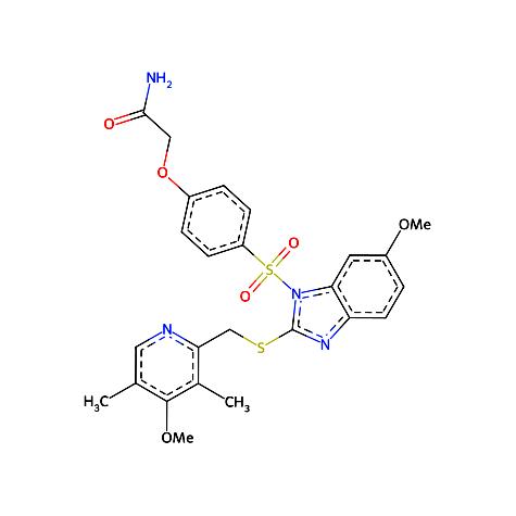 COc1ccc2nc(SCc3ncc(C)c(OC)c3C)n(S(=O)(=O)c3ccc(OCC(N)=O)cc3)c2c1